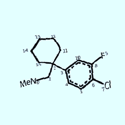 CNCC1(c2ccc(Cl)c(F)c2)CCCCC1